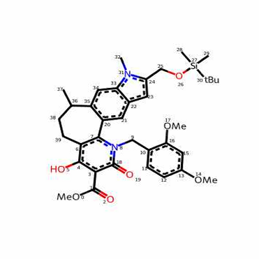 COC(=O)c1c(O)c2c(n(Cc3ccc(OC)cc3OC)c1=O)-c1cc3cc(CO[Si](C)(C)C(C)(C)C)n(C)c3cc1C(C)CC2